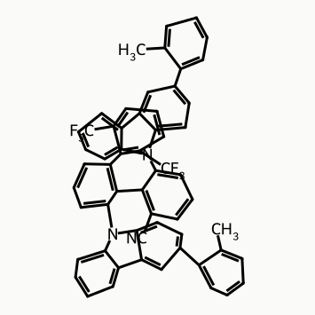 Cc1ccccc1-c1ccc2c(c1)c1ccccc1n2-c1cccc(C#N)c1-c1c(-c2c(C(F)(F)F)cccc2C(F)(F)F)cccc1-n1c2ccccc2c2cc(-c3ccccc3C)ccc21